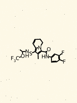 Cc1c(SNC(C)OC(F)(F)F)c2n(c1C(=O)Nc1ccc(F)c(F)c1)CCC=C2